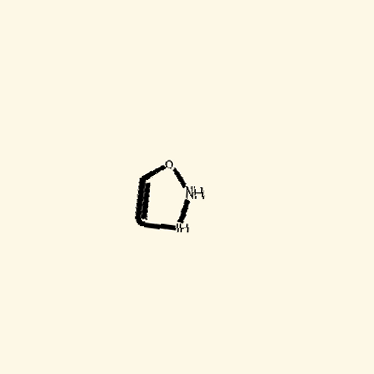 C1=C[IH]NO1